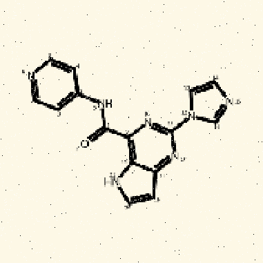 O=C(Nc1ccncc1)c1nc(-n2ccnc2)nc2cc[nH]c12